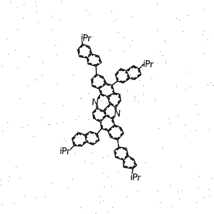 CC(C)c1ccc2cc(-c3ccc4c(c3)c(-c3ccc5cc(C(C)C)ccc5c3)c3ccc5nc6c7ccc(-c8ccc9cc(C(C)C)ccc9c8)cc7c(-c7ccc8cc(C(C)C)ccc8c7)c7ccc8nc4c3c5c8c76)ccc2c1